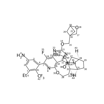 CCc1cc(N)cc(-c2nc3c4c(nc(OCC56COC(C5)C6)nc4c2F)N2C[C@H]4CC[C@@H]([C@H]2CCO3)N4C(=O)OC(C)(C)C)c1C(F)(F)F